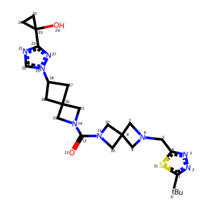 CC(C)(C)c1nnc(CN2CC3(C2)CN(C(=O)N2CC4(CC(n5cnc(C6(O)CC6)n5)C4)C2)C3)s1